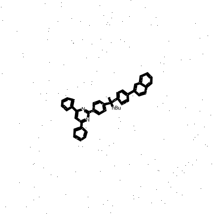 CCCCC(C)(c1ccc(-c2ccc3ccccc3c2)cc1)c1ccc(-c2nc(-c3ccccc3)cc(-c3ccccc3)n2)cc1